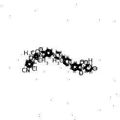 CC1(CN2CCN(c3ccc4c(c3)CN([C@H]3C(C)(C)[C@H](Oc5ccc(C#N)c(Cl)c5)C3(C)C)C4=O)CC2)CCN(c2ccc3c(c2)C(=O)N(C2CCC(=O)NC2=O)C3=O)CC1